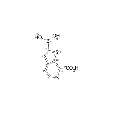 O=C(O)c1cccc2cc(B(O)O)sc12